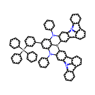 c1ccc(N2c3cc4c(cc3B3c5cc6c7cccc8c9ccccc9n(c6cc5N(c5ccccc5)c5cc(-c6cccc([Si](c9ccccc9)(c9ccccc9)c9ccccc9)c6)cc2c53)c87)c2cccc3c5ccccc5n4c32)cc1